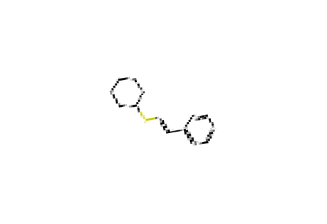 C(=Cc1ccccc1)SC1CCCCC1